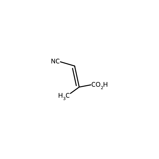 CC(=CC#N)C(=O)O